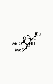 CCC(C)OC(=O)N[C@@H](CSC)C(=O)OC